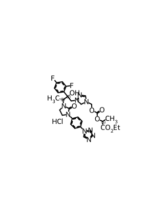 CCOC(=O)[C@H](C)OC(=O)OCN1C=NN(C[C@](O)(c2ccc(F)cc2F)[C@@H](C)N2CCN(c3ccc(-n4cnnn4)cc3)C2=O)C1.Cl